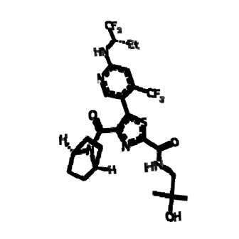 CC[C@H](Nc1cc(C(F)(F)F)c(-c2sc(C(=O)NCC(C)(C)O)nc2C(=O)N2[C@H]3CC[C@H]2CC3)cn1)C(F)(F)F